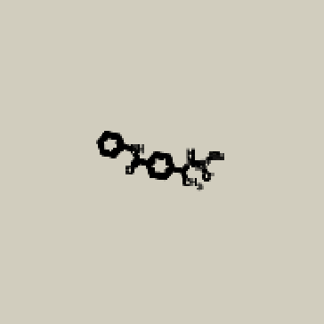 CC(N[S@@+]([O-])C(C)(C)C)c1ccc(C(=O)Nc2ccccc2)cc1